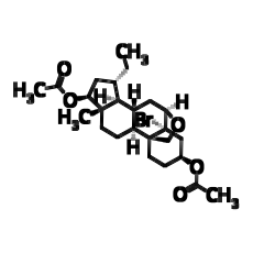 CC[C@H]1C[C@H](OC(C)=O)[C@@]2(C)CC[C@H]3[C@@H](C[C@H]4OC[C@@]35CC[C@H](OC(C)=O)C[C@]45Br)[C@H]12